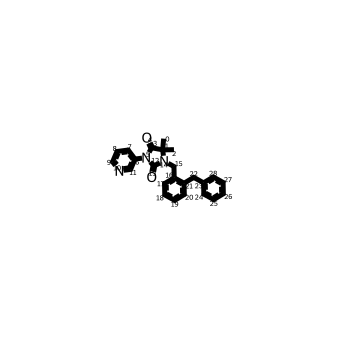 CC1(C)C(=O)N(c2cccnc2)C(=O)N1Cc1ccccc1Cc1ccccc1